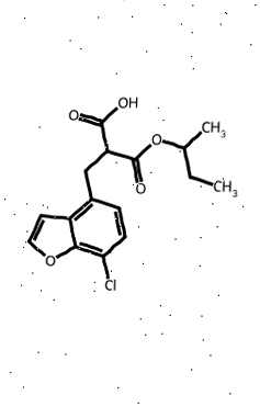 CCC(C)OC(=O)C(Cc1ccc(Cl)c2occc12)C(=O)O